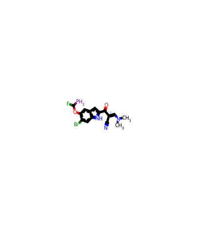 CN(C)/C=C(\C#N)C(=O)c1cc2cc(OC(F)P)c(Br)cc2[nH]1